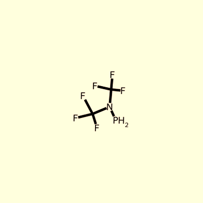 FC(F)(F)N(P)C(F)(F)F